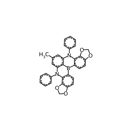 Cc1cc2c3c(c1)N(c1ccccc1)c1c(ccc4c1OCO4)B3c1ccc3c(c1N2c1ccccc1)OCO3